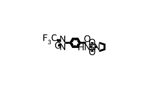 O=C(NS(=O)(=O)N1CCCC1)c1ccc(-c2noc(C(F)(F)F)n2)cc1